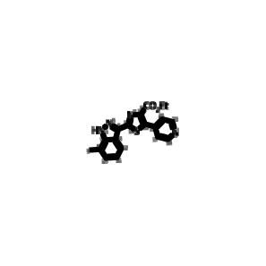 CCOC(=O)c1nc(-c2n[nH]c3c(C)cccc23)sc1-c1ccncc1